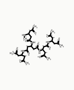 CNC(CC(C)=O)CC(=O)NC(CC(=O)NC(CC(C)=O)CC(C)=O)CC(=O)NC(CC(C)=O)CC(=O)NC(CC(C)=O)CC(C)=O